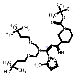 Cc1ccnn1/C(=C\C(=N)C1CCCN(C(=O)OC(C)(C)C)C1)N(COCC[Si](C)(C)C)COCC[Si](C)(C)C